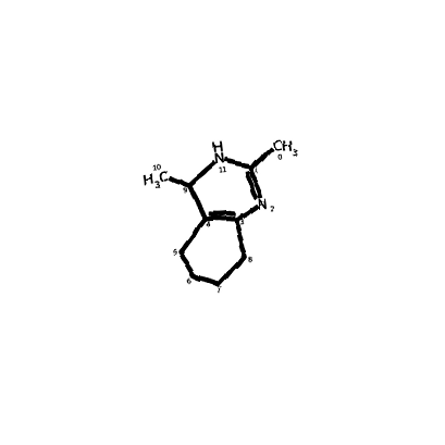 CC1=NC2=C(CCCC2)C(C)N1